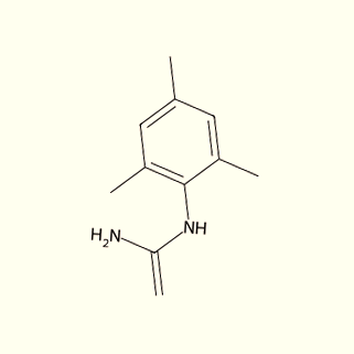 C=C(N)Nc1c(C)cc(C)cc1C